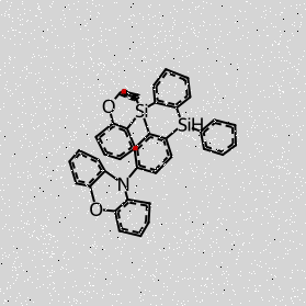 c1ccc([SiH]2c3ccccc3[Si]3(c4ccccc4Oc4ccccc43)c3cc(N4c5ccccc5Oc5ccccc54)ccc32)cc1